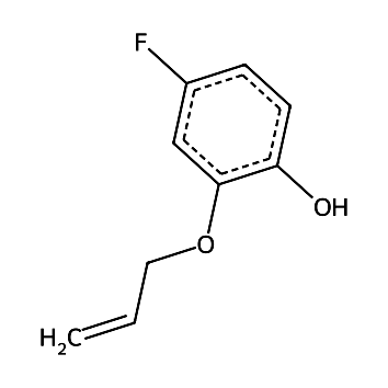 C=CCOc1cc(F)ccc1O